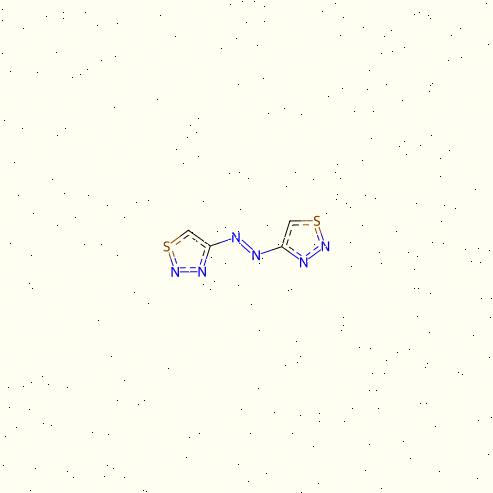 c1snnc1N=Nc1csnn1